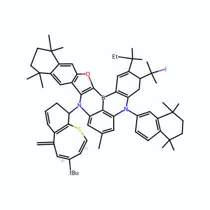 C=C1/C=C(C(C)(C)C)\C=C/SC2=C1C=CCC2N1c2cc(C)cc3c2B(C2=C(CC(C(C)(C)I)C(C(C)(C)CC)=C2)N3c2ccc3c(c2)C(C)(C)CCC3(C)C)c2oc3cc4c(cc3c21)C(C)(C)CCC4(C)C